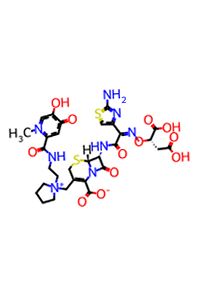 Cn1cc(O)c(=O)cc1C(=O)NCC[N+]1(CC2=C(C(=O)[O-])N3C(=O)[C@@H](NC(=O)/C(=N\O[C@@H](CC(=O)O)C(=O)O)c4csc(N)n4)[C@H]3SC2)CCCC1